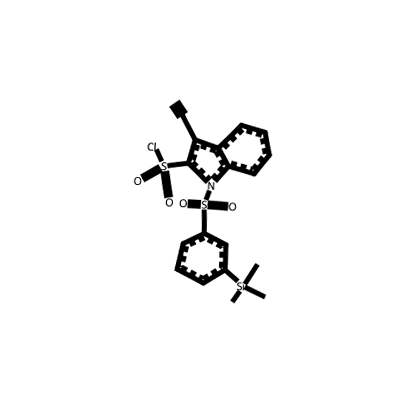 C#Cc1c(S(=O)(=O)Cl)n(S(=O)(=O)c2cccc([Si](C)(C)C)c2)c2ccccc12